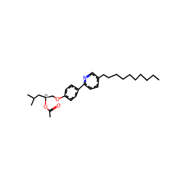 CCCCCCCCCCc1ccc(-c2ccc(OC[C@H](CC(C)C)OC(C)=O)cc2)nc1